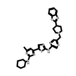 Cc1cc(-c2cnc(Nc3cnc(CN4CCC(c5nc6ccccc6o5)CC4)cn3)s2)nc(NC2CCCCC2)n1